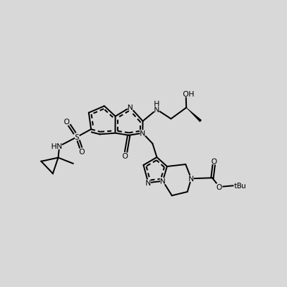 C[C@H](O)CNc1nc2ccc(S(=O)(=O)NC3(C)CC3)cc2c(=O)n1Cc1cnn2c1CN(C(=O)OC(C)(C)C)CC2